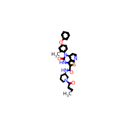 C/C=C/C(=O)N1CCC[C@@H](NC(=O)c2sc3nccc4c3c2NC(=O)N4c2ccc(Oc3ccccc3)cc2C)C1